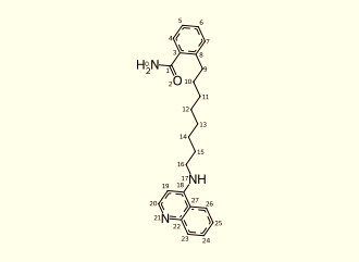 NC(=O)c1ccccc1CCCCCCCCNc1ccnc2ccccc12